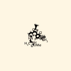 COC(=O)N[C@@H](C)CNc1nccc(-c2oc(C3CC3)nc2-c2cc(F)cc(NS(C)(=O)=O)c2Cl)n1